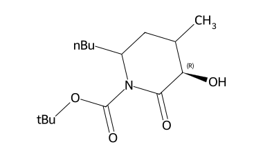 CCCCC1CC(C)[C@@H](O)C(=O)N1C(=O)OC(C)(C)C